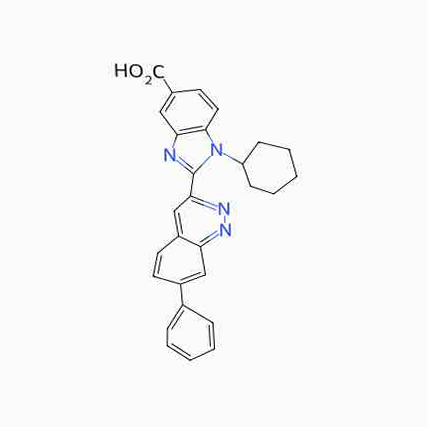 O=C(O)c1ccc2c(c1)nc(-c1cc3ccc(-c4ccccc4)cc3nn1)n2C1CCCCC1